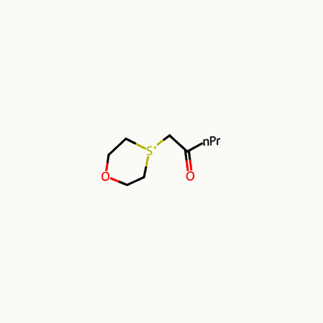 CCCC(=O)C[S+]1CCOCC1